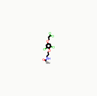 CC(C)(C)C(=O)NCCCOc1c(Cl)cc(OCC=C(Cl)Cl)cc1Cl